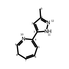 Cc1cc(C2=CC=CCC=N2)[nH]n1